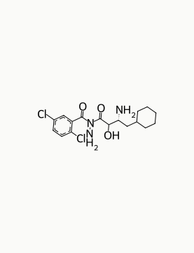 N[C@H](CC1CCCCC1)C(O)C(=O)N(N)C(=O)c1cc(Cl)ccc1Cl